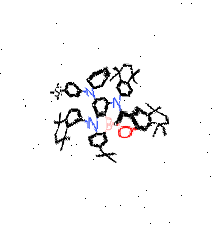 CC(C)(C)c1ccc2c(c1)B1c3oc4cc5c(cc4c3N(c3ccc4c(c3)C(C)(C)CCC4(C)C)c3cc(N(c4ccccc4)c4ccc([Si](C)(C)C)cc4)cc(c31)N2c1ccc2c(c1)C(C)(C)CCC2(C)C)C(C)(C)CCC5(C)C